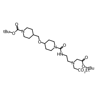 CCOC(=O)CN(CCNC(=O)N1CCC(OCC2CCN(C(=O)OC(C)(C)C)CC2)CC1)CC(=O)OC(C)(C)C